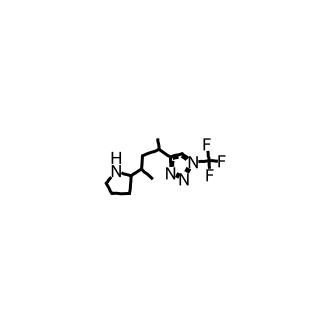 CC(CC(C)C1CCCN1)c1cn(C(F)(F)F)nn1